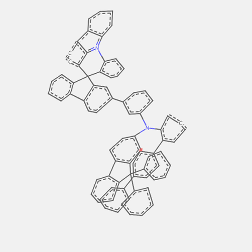 c1ccc(-c2ccc(-c3ccccc3N(c3cccc(-c4ccc5c(c4)C4(c6ccccc6-5)c5ccccc5-n5c6ccccc6c6cccc4c65)c3)c3ccc4c(c3)C(c3ccccc3)(c3ccccc3)c3ccccc3-4)cc2)cc1